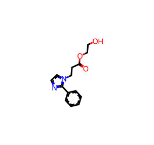 O=C(CCn1ccnc1-c1ccccc1)OCCO